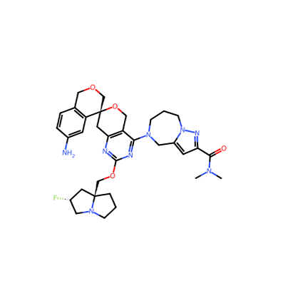 CN(C)C(=O)c1cc2n(n1)CCCN(c1nc(OC[C@@]34CCCN3C[C@H](F)C4)nc3c1CO[C@]1(COCc4ccc(N)cc41)C3)C2